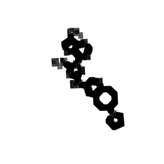 Cc1csc2c(-n3nc(Nc4cnc5c(c4)CCC(N4CCCC4)CCC5)nc3N)ncnc12